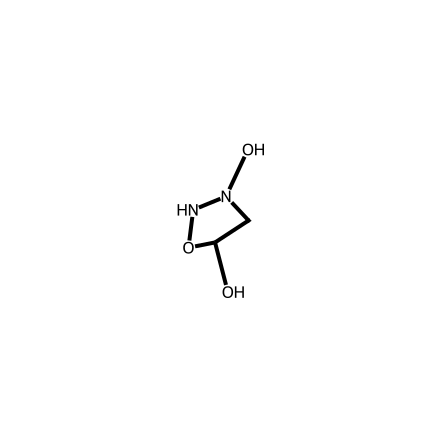 OC1CN(O)NO1